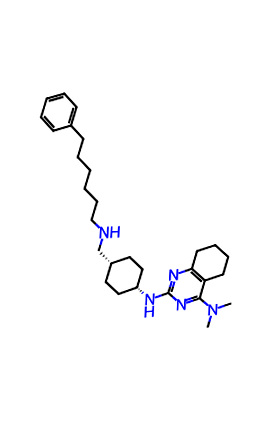 CN(C)c1nc(N[C@H]2CC[C@@H](CNCCCCCCc3ccccc3)CC2)nc2c1CCCC2